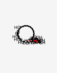 C[C@@H]1[C@H](O)[C@@H](C)/C=C/C=C/C=C/C=C/C=C/C=C/C=C/[C@H](O[C@@H]2O[C@H](C)[C@@H](O)[C@H](N)[C@@H]2O)C[C@@H]2O[C@](O)(C[C@@H](O)C[C@@H](O)[C@H](O)CC[C@@H](O)C[C@@H](O)CC(=O)O[C@H]1C)C[C@H](O)[C@H]2NC(=O)NNC(CO)CO